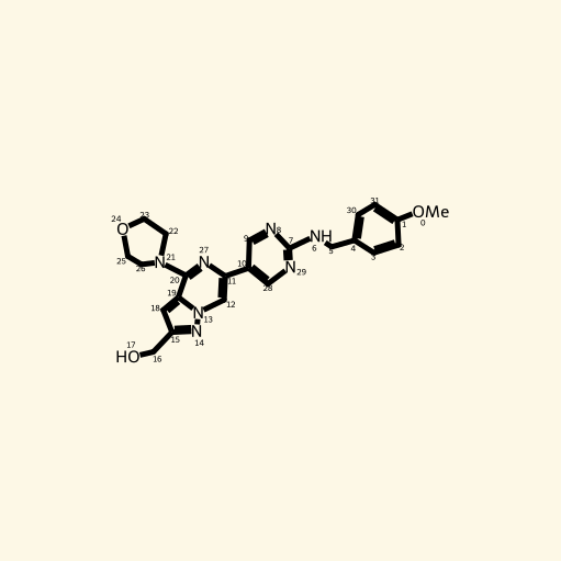 COc1ccc(CNc2ncc(-c3cn4nc(CO)cc4c(N4CCOCC4)n3)cn2)cc1